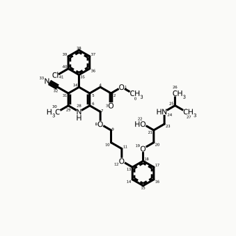 COC(=O)CC1=C(COCCCOc2ccccc2OCC(O)CNC(C)C)NC(C)=C(C#N)C1c1ccccc1Cl